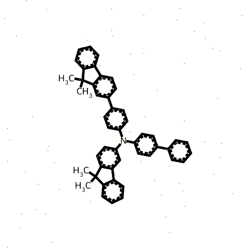 CC1(C)c2ccccc2-c2cc(N(c3ccc(-c4ccccc4)cc3)c3ccc(-c4ccc5c(c4)C(C)(C)c4ccccc4-5)cc3)ccc21